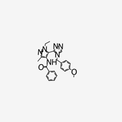 CCn1nc(C)c(NC(=O)c2ccccc2)c1-c1nncn1Cc1ccc(OC)cc1